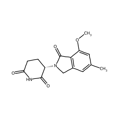 COc1cc(C)cc2c1C(=O)N([C@H]1CCC(=O)NC1=O)C2